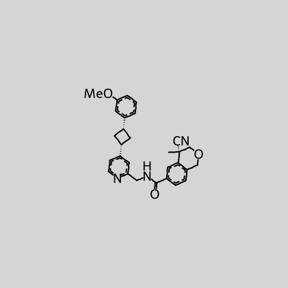 COc1cccc([C@H]2C[C@@H](c3ccnc(CNC(=O)c4ccc5c(c4)[C@](C)(C#N)COC5)c3)C2)c1